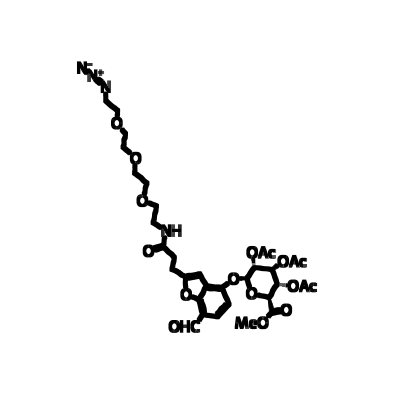 COC(=O)[C@H]1O[C@@H](Oc2ccc(C=O)c3oc(CCC(=O)NCCOCCOCCOCCN=[N+]=[N-])cc23)[C@H](OC(C)=O)[C@@H](OC(C)=O)[C@@H]1OC(C)=O